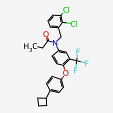 CCC(=O)N(Cc1cccc(Cl)c1Cl)c1ccc(Oc2ccc(C3CCC3)cc2)c(C(F)(F)F)c1